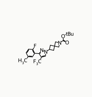 Cc1ccc(F)c(-c2nn(C3CC4(C3)CN(C(=O)OC(C)(C)C)C4)cc2C(F)(F)F)c1